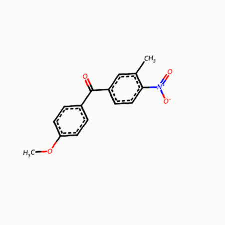 COc1ccc(C(=O)c2ccc([N+](=O)[O-])c(C)c2)cc1